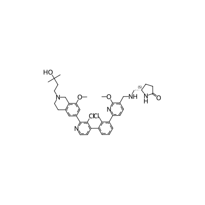 COc1cc(-c2nccc(-c3cccc(-c4ccc(CNC[C@@H]5CCC(=O)N5)c(OC)n4)c3Cl)c2Cl)cc2c1CN(CCC(C)(C)O)CC2